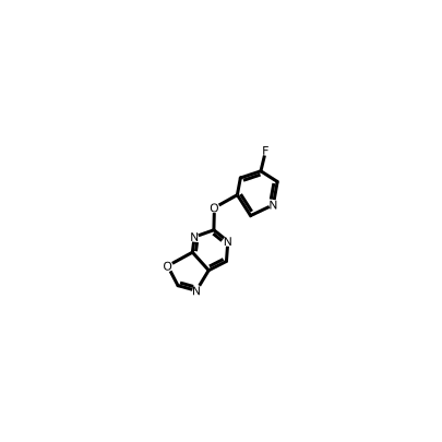 Fc1cncc(Oc2ncc3ncoc3n2)c1